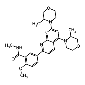 CNC(=O)c1cc(-c2ccc3c(N4CCOCC4C)nc(N4CCOCC4C)nc3n2)ccc1OC